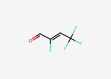 O=C/C(F)=C/C(F)(F)F